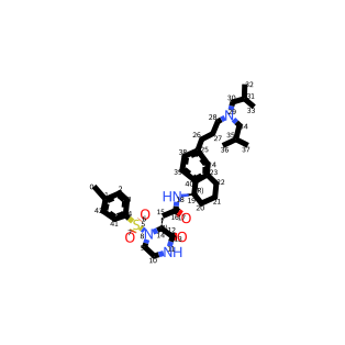 Cc1ccc(S(=O)(=O)N2CCNC(=O)[C@H]2CC(=O)N[C@@H]2CCCc3cc(CCCN(CC(C)C)CC(C)C)ccc32)cc1